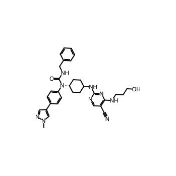 Cn1cc(-c2ccc(N(C(=O)NCc3ccccc3)[C@H]3CC[C@H](Nc4ncc(C#N)c(NCCCO)n4)CC3)cc2)cn1